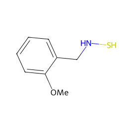 COc1ccccc1CNS